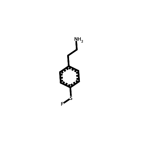 NCCc1ccc(SF)cc1